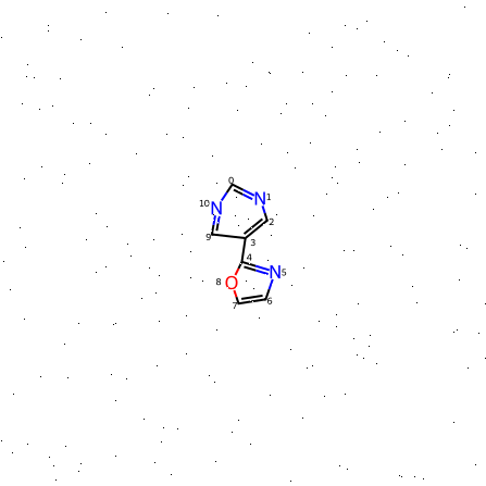 c1ncc(-c2ncco2)cn1